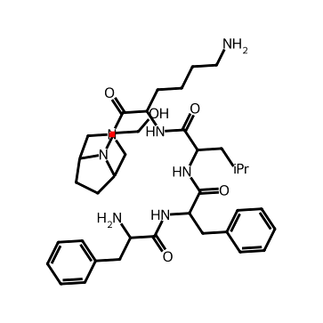 CC(C)CC(NC(=O)C(Cc1ccccc1)NC(=O)C(N)Cc1ccccc1)C(=O)NC(CCCCN)C(=O)N1CC2CCC(C1)N2CCO